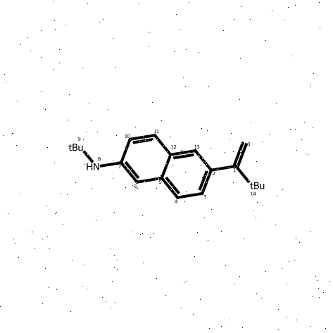 C=C(c1ccc2cc(NC(C)(C)C)ccc2c1)C(C)(C)C